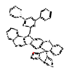 c1ccc(-c2cc(-c3ccccc3)nc(-n3c4cc5c(cc4c4ccc6ccccc6c43)C3(c4ccccc4O5)c4ccccc4-c4ccccc43)n2)cc1